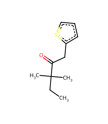 CCC(C)(C)C(=O)Cc1cccs1